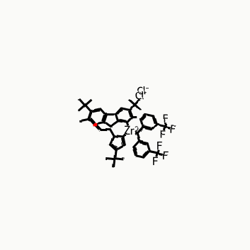 CCCC1C=C(C(C)(C)C)C=[C]1[Zr+2](=[C](c1cccc(C(F)(F)F)c1)c1cccc(C(F)(F)F)c1)[c]1c(C)c(C(C)(C)C)cc2c1Cc1cc(C)c(C(C)(C)C)cc1-2.[Cl-].[Cl-]